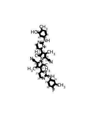 Cc1ccc(Nc2nccc(-c3c(C)c(C#N)n(-n4c(C)c(-c5ccnc(Nc6ccc(F)c(C)c6)n5)c(C)c4C#N)c3C)n2)cc1O